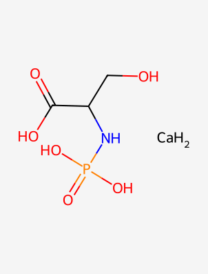 O=C(O)C(CO)NP(=O)(O)O.[CaH2]